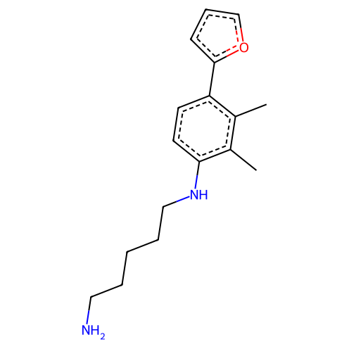 Cc1c(NCCCCCN)ccc(-c2ccco2)c1C